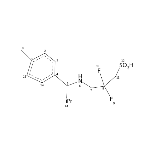 Cc1ccc(C(NCC(F)(F)CS(=O)(=O)O)C(C)C)cc1